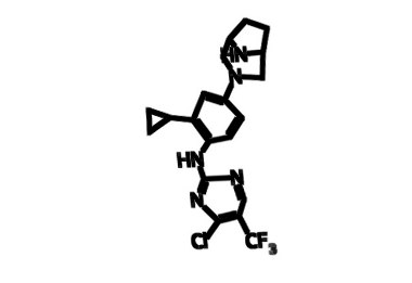 FC(F)(F)c1cnc(Nc2ccc(N3CC4CCC(C3)N4)cc2C2CC2)nc1Cl